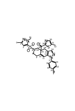 Cc1cc(S(=O)(=O)N2CCC3=Cc4c(cnn4-c4ccc(F)cc4)CC3(C(=O)c3ncc(C)s3)C2)n(C)n1